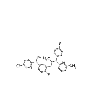 Cc1cccc(C(c2ccc(F)cc2)C(C)Cc2cc(C(c3ccc(Cl)cn3)C(C)C)ccc2F)n1